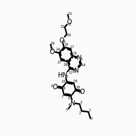 CCCCN(C)C1=CC(=O)C(Nc2ncnc3cc(OCCOC)c(OC)cc23)=CC1=O